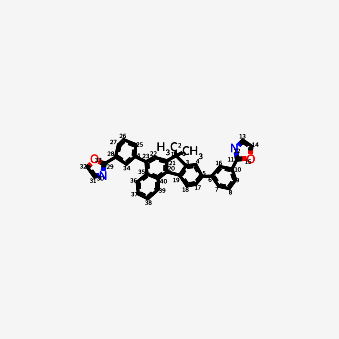 CC1(C)c2cc(-c3cccc(-c4ncco4)c3)ccc2-c2c1cc(-c1cccc(-c3ncco3)c1)c1ccccc21